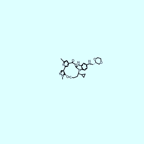 Cc1cc2cc(n1)-c1cnn(C)c1OCCCC(C1CC1)N1/C(=N/C2=O)Nc2cc(NC[C@H]3COCCO3)ccc21